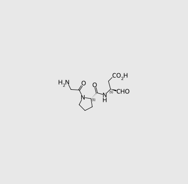 NCC(=O)N1CCC[C@H]1C(=O)N[C@H](C=O)CC(=O)O